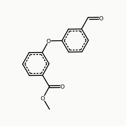 COC(=O)c1cccc(Oc2cccc(C=O)c2)c1